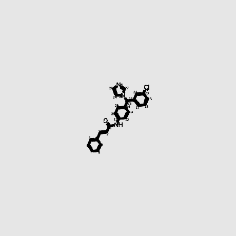 O=C(C=Cc1ccccc1)Nc1ccc(C(c2cccc(Cl)c2)n2ccnc2)cc1